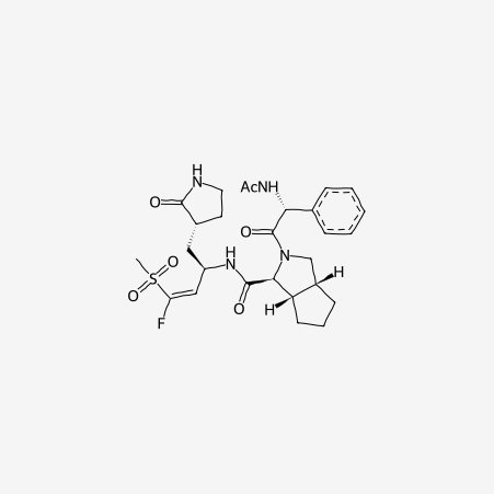 CC(=O)N[C@@H](C(=O)N1C[C@@H]2CCC[C@@H]2[C@H]1C(=O)N[C@@H](/C=C(/F)S(C)(=O)=O)C[C@H]1CCNC1=O)c1ccccc1